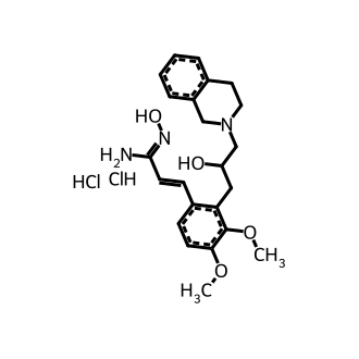 COc1ccc(C=CC(N)=NO)c(CC(O)CN2CCc3ccccc3C2)c1OC.Cl.Cl